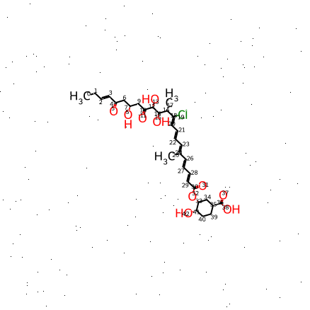 CC/C=C/C(=O)C[C@H](O)CC(=O)[C@@H](O)[C@H](O)[C@H](C)/C(Cl)=C/C=C/C=C(C)/C=C/C=C/C(=O)O[C@@H]1C[C@@H](C(=O)O)CC[C@@H]1O